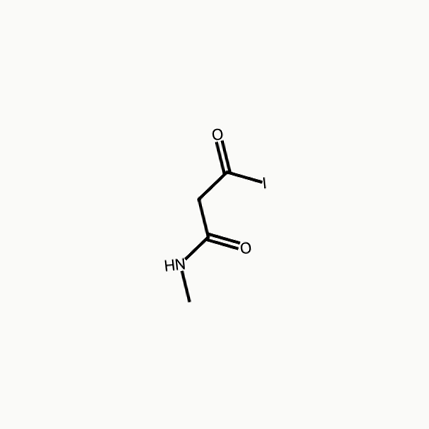 CNC(=O)CC(=O)I